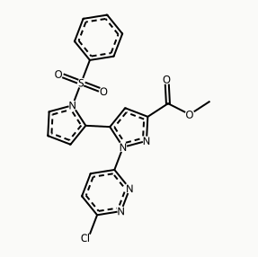 COC(=O)c1cc(-c2cccn2S(=O)(=O)c2ccccc2)n(-c2ccc(Cl)nn2)n1